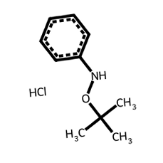 CC(C)(C)ONc1ccccc1.Cl